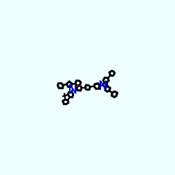 CC1(C)c2ccccc2-c2ccc(N(c3ccc(-c4ccc(-c5ccc(-n6c7ccc(-c8ccccc8)cc7c7cc(-c8ccccc8)ccc76)cc5)cc4)cc3)c3cc(-c4ccccc4)ccc3-c3ccccc3)cc21